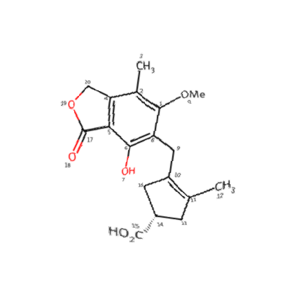 COc1c(C)c2c(c(O)c1CC1=C(C)C[C@H](C(=O)O)C1)C(=O)OC2